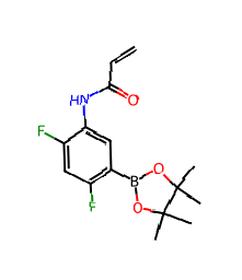 C=CC(=O)Nc1cc(B2OC(C)(C)C(C)(C)O2)c(F)cc1F